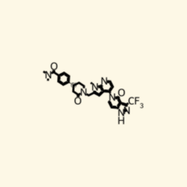 CN(C)C(=O)c1ccc([C@@H]2CCN(Cc3cc4c(-n5ccc6[nH]nc(C(F)(F)F)c6c5=O)ccnc4n3C)C(=O)C2)cc1